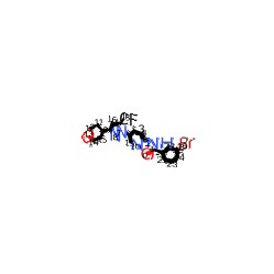 O=C(Nc1ccc(-n2nc(C3CCOCC3)cc2C(F)(F)F)cn1)c1cccc(Br)c1